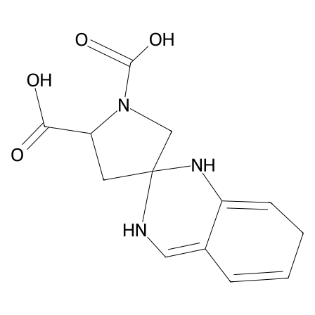 O=C(O)C1CC2(CN1C(=O)O)NC=C1C=CCC=C1N2